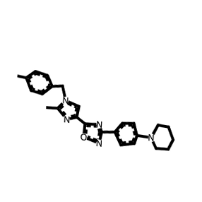 Cc1ccc(Cn2cc(-c3nc(-c4ccc(N5CCCCC5)cc4)no3)nc2C)cc1